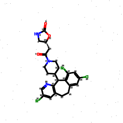 O=C1NC[C@@H](CC(=O)N2CCC(C3c4ncc(Br)cc4CCc4cc(Cl)cc(Br)c43)CC2)O1